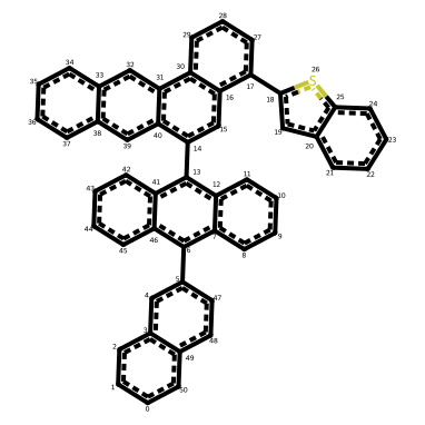 c1ccc2cc(-c3c4ccccc4c(-c4cc5c(-c6cc7ccccc7s6)cccc5c5cc6ccccc6cc45)c4ccccc34)ccc2c1